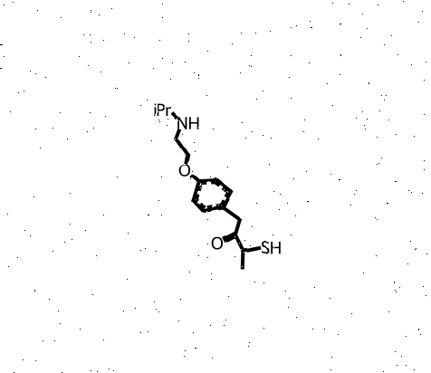 CC(C)NCCOc1ccc(CC(=O)C(C)S)cc1